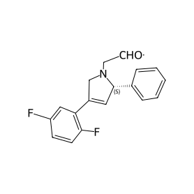 O=[C]CN1CC(c2cc(F)ccc2F)=C[C@H]1c1ccccc1